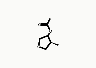 CC(=O)OC1COC[C@@H]1C